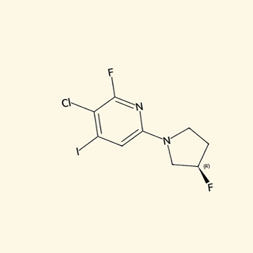 Fc1nc(N2CC[C@@H](F)C2)cc(I)c1Cl